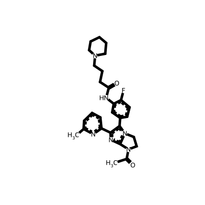 CC(=O)N1CCn2c1nc(-c1cccc(C)n1)c2-c1ccc(F)c(NC(=O)CCCN2CCCCC2)c1